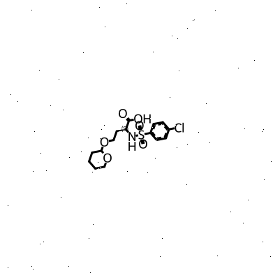 O=C(O)[C@H](CCOC1CCCCO1)NS(=O)(=O)c1ccc(Cl)cc1